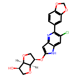 O[C@@H]1CO[C@H]2[C@@H]1OC[C@H]2Oc1cc2nc(-c3ccc4c(c3)OCO4)c(Cl)cc2[nH]1